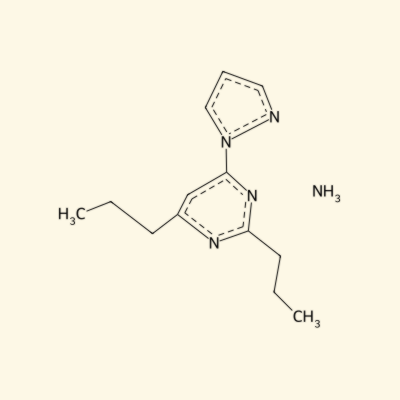 CCCc1cc(-n2cccn2)nc(CCC)n1.N